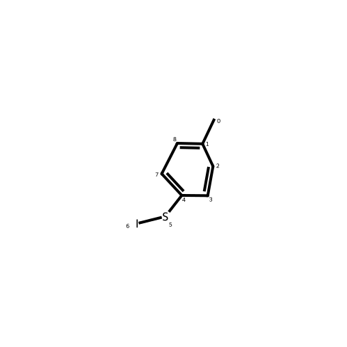 Cc1ccc(SI)cc1